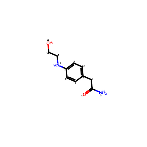 NC(=O)Cc1ccc(NCCO)cc1